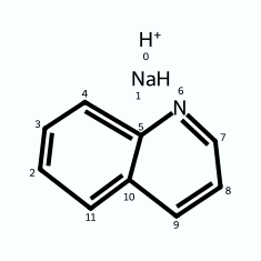 [H+].[NaH].c1ccc2ncccc2c1